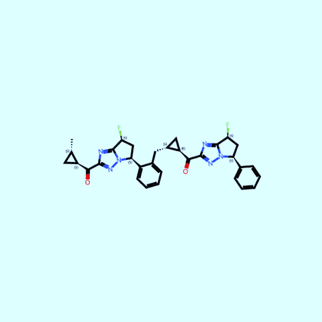 C[C@H]1C[C@@H]1C(=O)c1nc2n(n1)[C@H](c1ccccc1C[C@@H]1C[C@H]1C(=O)c1nc3n(n1)[C@H](c1ccccc1)C[C@@H]3F)C[C@@H]2F